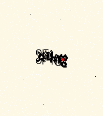 CCN1C(=S)N(c2c(F)c(OC)cc(OC)c2F)Cc2cnc3c(cc(CN4CCCC4)n3S(=O)(=O)c3ccccc3)c21